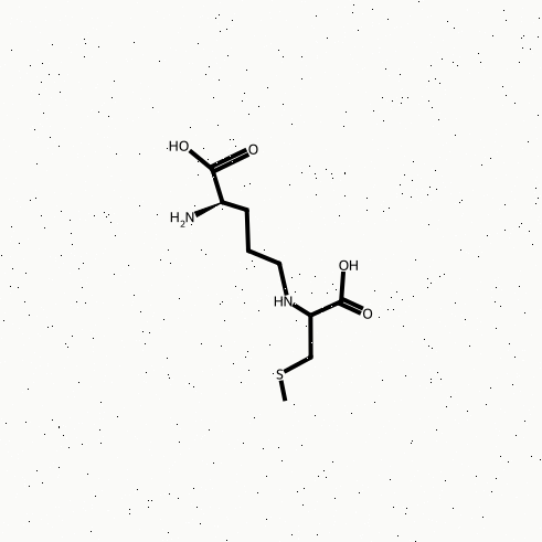 CSCC(NCCC[C@@H](N)C(=O)O)C(=O)O